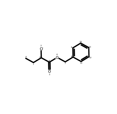 CCC(Cl)C(=O)OCc1ccccc1